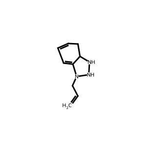 C=CCN1NNC2CC=CC=C21